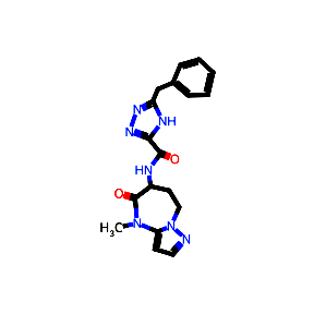 CN1C(=O)C(NC(=O)c2nnc(Cc3ccccc3)[nH]2)CCn2nccc21